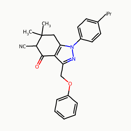 CC(C)c1ccc(-n2nc(COc3ccccc3)c3c2CC(C)(C)C(C#N)C3=O)cc1